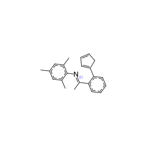 C/C(=N\c1c(C)cc(C)cc1C)c1ccccc1C1=CC=CC1